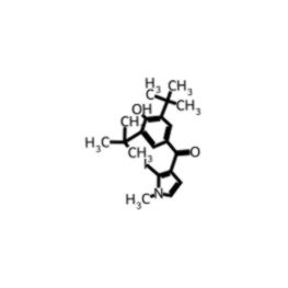 Cn1ccc(C(=O)c2cc(C(C)(C)C)c(O)c(C(C)(C)C)c2)c1I